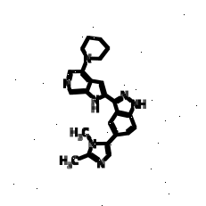 Cc1ncc(-c2ccc3[nH]nc(-c4cc5c(N6CCCCC6)cncc5[nH]4)c3c2)n1C